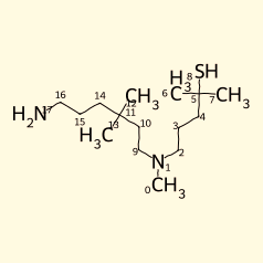 CN(CCCC(C)(C)S)CCC(C)(C)CCCN